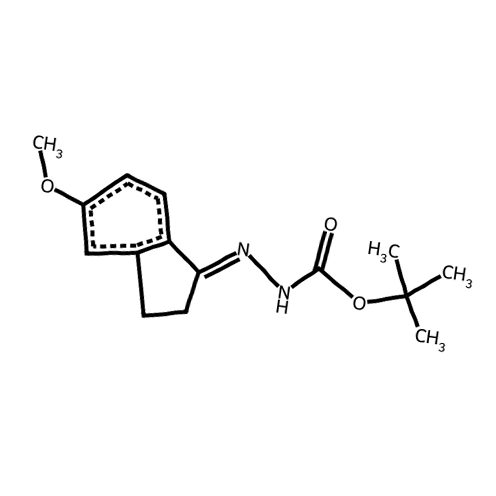 COc1ccc2c(c1)CC/C2=N\NC(=O)OC(C)(C)C